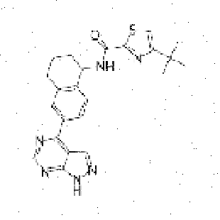 CC(C)(C)c1csc(C(=O)NC2CCCc3cc(-c4ncnc5[nH]ncc45)ccc32)n1